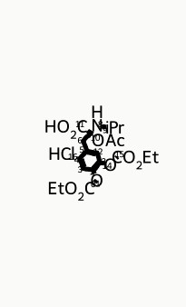 CCOC(=O)Oc1ccc(C[C@](NC(C)C)(OC(C)=O)C(=O)O)cc1OC(=O)OCC.Cl